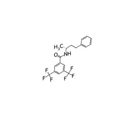 C[C@H](CCc1ccccc1)NC(=O)c1cc(C(F)(F)F)cc(C(F)(F)F)c1